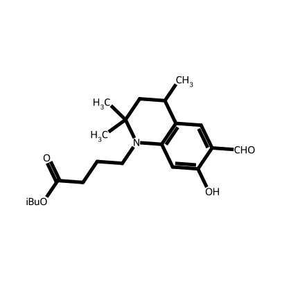 CC(C)COC(=O)CCCN1c2cc(O)c(C=O)cc2C(C)CC1(C)C